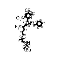 CC(C)(C)OC(=O)NCC(C)(C)OCCCC(C1=NN(OCc2ccccc2)C(c2nc(Cl)c(C(F)(F)F)cc2[N+](=O)[O-])O1)C(F)(F)F